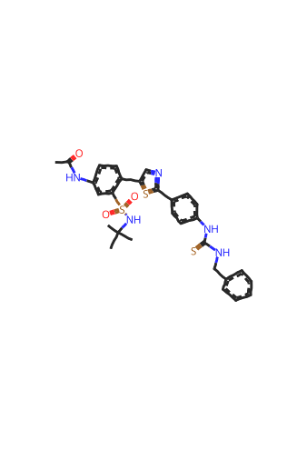 CC(=O)Nc1ccc(-c2cnc(-c3ccc(NC(=S)NCc4ccccc4)cc3)s2)c(S(=O)(=O)NC(C)(C)C)c1